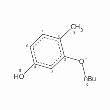 CCCCOc1cc(O)ccc1C